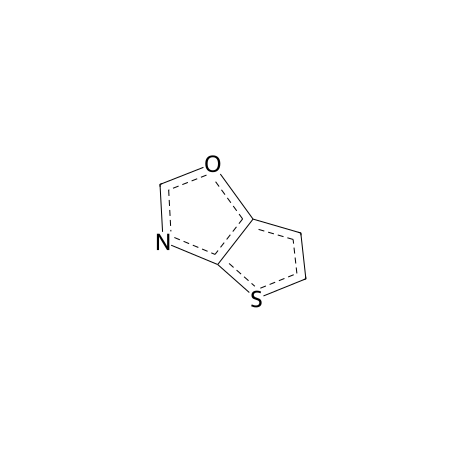 c1nc2sccc2o1